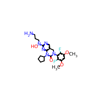 COc1cc(OC)c(F)c(N2Cc3cnc(N(O)CCCN)nc3N(C3CCCC3)C2=O)c1F